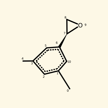 Cc1cc(C)cc([C@H]2CO2)c1